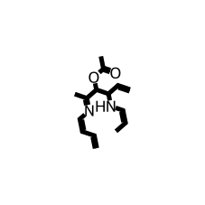 C=C/C=C\N=C(/C)C(OC(C)=O)C(C=C)N/C=C\C